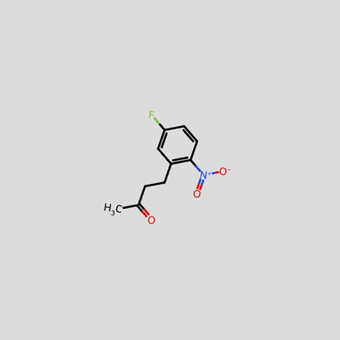 CC(=O)CCc1cc(F)ccc1[N+](=O)[O-]